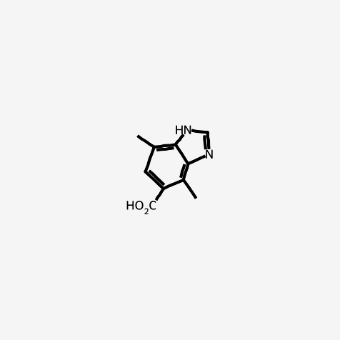 Cc1c(C(=O)O)cc(C)c2[nH]cnc12